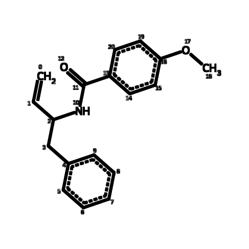 C=CC(Cc1ccccc1)NC(=O)c1ccc(OC)cc1